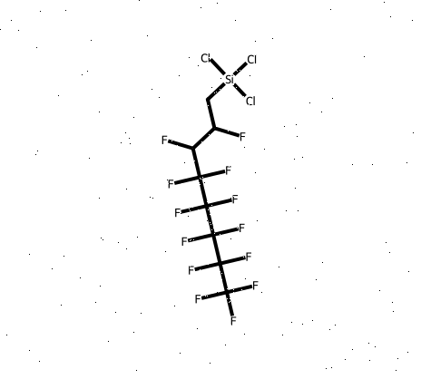 FC(C[Si](Cl)(Cl)Cl)C(F)C(F)(F)C(F)(F)C(F)(F)C(F)(F)C(F)(F)F